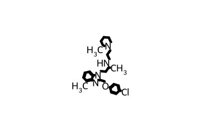 Cc1cccc2c1nc(COc1ccc(Cl)cc1)n2CCC(C)NCCCN1CCCCC1C